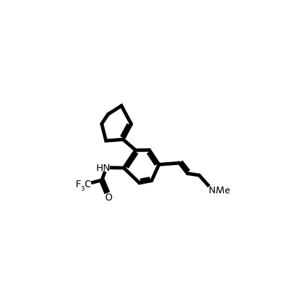 CNCC=Cc1ccc(NC(=O)C(F)(F)F)c(C2=CCCCC2)c1